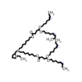 CC/C=C\CCCCOC(CCC(=O)OCCCCCCCN(CCCCCCCOC(=O)CCC(OCCCC/C=C\CC)OCCCC/C=C\CC)CC1CCCN1CC)OCCCC/C=C\CC